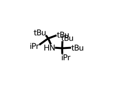 CC(C)C(NC(C(C)C)(C(C)(C)C)C(C)(C)C)(C(C)(C)C)C(C)(C)C